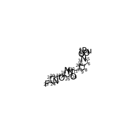 CC(C)(C)OC(=O)N1CCc2ccc(CCn3ncc(OCc4ccc(F)cn4)cc3=O)cc2C1